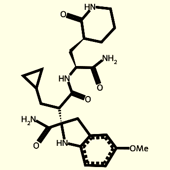 COc1ccc2c(c1)C[C@@](C(N)=O)(C(CC1CC1)C(=O)N[C@@H](C[C@@H]1CCCNC1=O)C(N)=O)N2